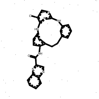 O=C(Nc1ccc2cc1CCc1cccc(c1)Nc1ncc(Cl)c(n1)N2)c1cnc2ccccc2n1